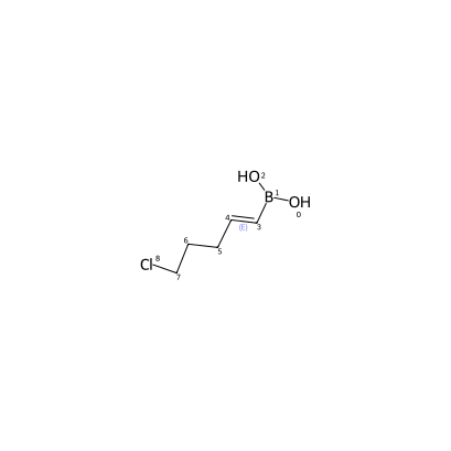 OB(O)/C=C/CCCCl